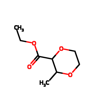 CCOC(=O)C1OCCOC1C